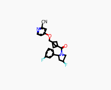 N#Cc1cc(OCC23CC(C(=O)N4CC(F)CC4c4cccc(F)c4)(C2)C3)ccn1